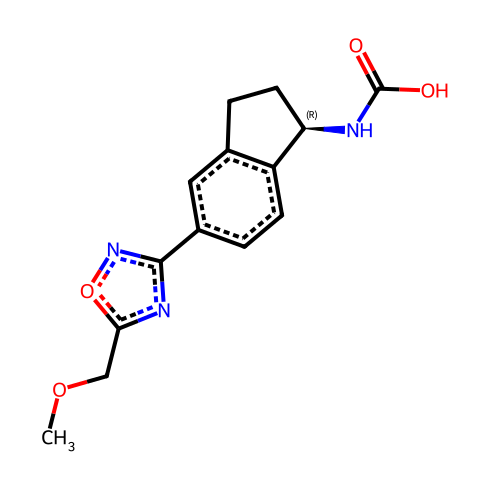 COCc1nc(-c2ccc3c(c2)CC[C@H]3NC(=O)O)no1